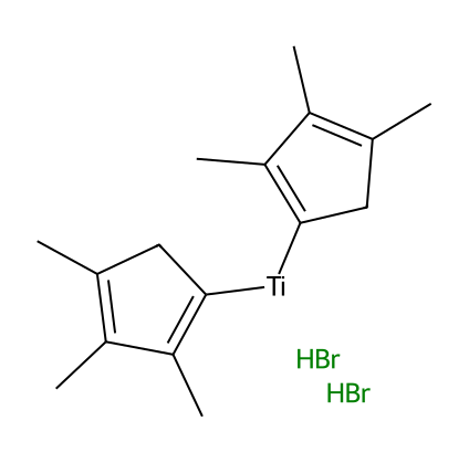 Br.Br.CC1=C(C)C(C)=[C]([Ti][C]2=C(C)C(C)=C(C)C2)C1